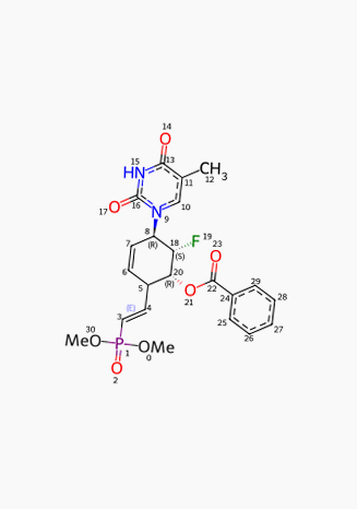 COP(=O)(/C=C/C1C=C[C@@H](n2cc(C)c(=O)[nH]c2=O)[C@H](F)[C@@H]1OC(=O)c1ccccc1)OC